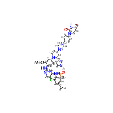 COc1cc(N2CCC(N3CCN(c4ccc(-n5ccc(=O)[nH]c5=O)cc4)CC3)CC2)c(-c2cnn(C)c2)cc1Nc1ncc(Cl)c(Nc2ccc(C3CC3)cc2P(C)(C)=O)n1